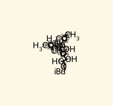 CCC(C)COCC(O)C(O)c1ccc(-c2nc(-c3ccc(C)cc3C)nc(-c3ccc(C)cc3C)n2)c(O)c1